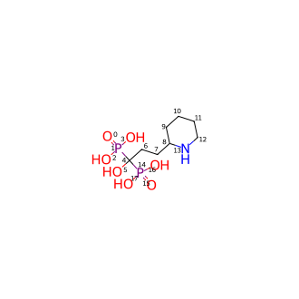 O=P(O)(O)C(O)(CCC1CCCCN1)P(=O)(O)O